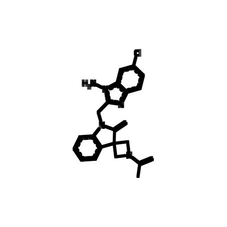 C=C(C)N1CC2(C1)C(=C)N(Cc1nc3ccc(Cl)cc3n1N)c1ccccc12